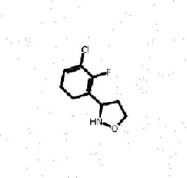 FC1=C(C2CCON2)CCC=C1Cl